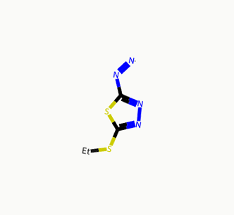 CCSc1nnc(N=[N])s1